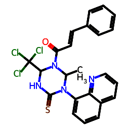 CC1N(c2cccc3cccnc23)C(=S)NC(C(Cl)(Cl)Cl)N1C(=O)/C=C/c1ccccc1